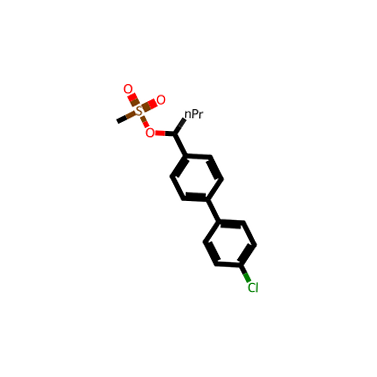 CCCC(OS(C)(=O)=O)c1ccc(-c2ccc(Cl)cc2)cc1